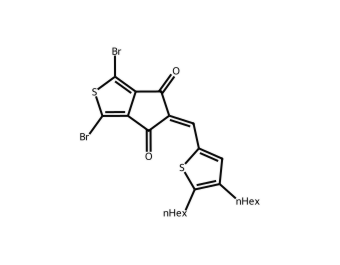 CCCCCCc1cc(C=C2C(=O)c3c(Br)sc(Br)c3C2=O)sc1CCCCCC